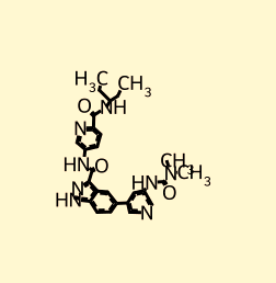 CCC(CC)NC(=O)c1ccc(NC(=O)c2n[nH]c3ccc(-c4cncc(NC(=O)N(C)C)c4)cc23)cn1